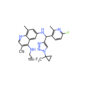 Cc1nc(F)ccc1C(Nc1cc(C)c2ncc(C#N)c(NCC(C)(C)C)c2c1)c1cn(C2(C(F)(F)F)CC2)nn1